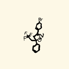 FC(F)(F)CC1(c2ccccc2)CC(c2ccc(Br)cc2)=NO1